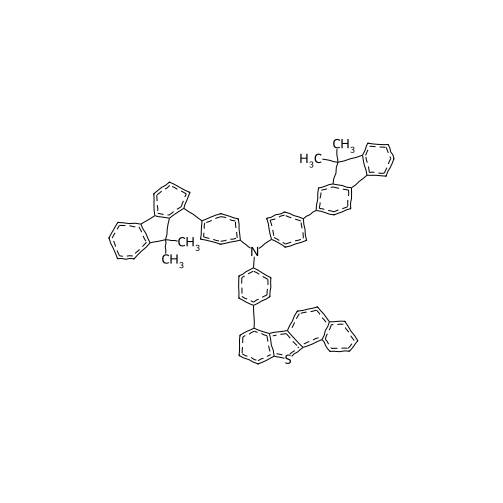 CC1(C)c2ccccc2-c2ccc(-c3ccc(N(c4ccc(-c5cccc6c5C(C)(C)c5ccccc5-6)cc4)c4ccc(-c5cccc6sc7c8ccccc8ccc7c56)cc4)cc3)cc21